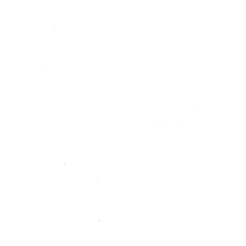 CC(C)(C)c1ccc2c(c1)Cc1c-2ccc(C(C)(C)C)[c]1[Zr+2]([C]1=CC(C23CC4CC(CC(C4)C2)C3)=CC1)=[C]1CCCCC1.[Cl-].[Cl-]